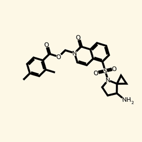 Cc1ccc(C(=O)OCn2ccc3c(S(=O)(=O)N4CCC(N)C45CC5)cccc3c2=O)c(C)c1